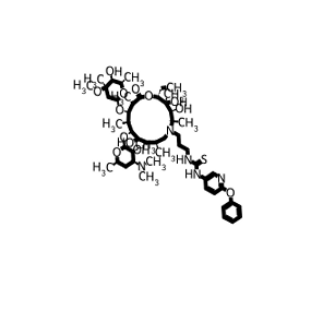 CC[C@H]1OC(=O)[C@H](C)[C@@H](O[C@H]2C[C@@](C)(OC)[C@@H](O)[C@H](C)O2)[C@H](C)[C@@H](O[C@@H]2O[C@H](C)C[C@H](N(C)C)[C@H]2O)[C@](C)(O)C[C@@H](C)CN(CCCNC(=S)Nc2ccc(Oc3ccccc3)nc2)[C@H](C)[C@@H](O)[C@]1(C)O